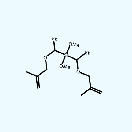 C=C(C)COC(CC)[Si](OC)(OC)C(CC)OCC(=C)C